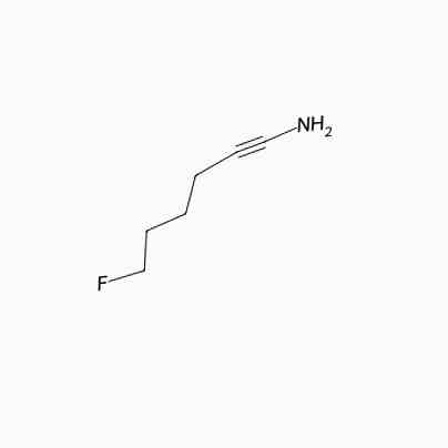 NC#CCCCCF